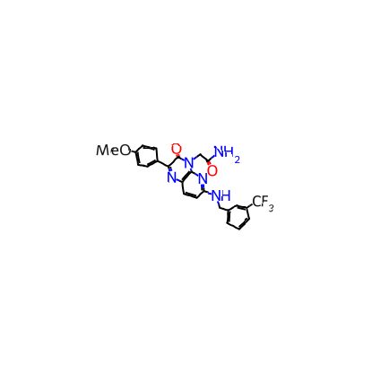 COc1ccc(-c2nc3ccc(NCc4cccc(C(F)(F)F)c4)nc3n(CC(N)=O)c2=O)cc1